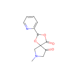 CN1CC(=O)C2(C1)OB(c1ccccn1)OC2=O